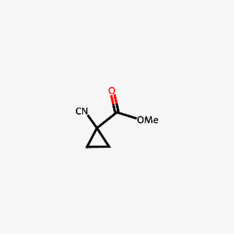 [C-]#[N+]C1(C(=O)OC)CC1